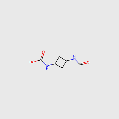 O=CNC1CC(NC(=O)O)C1